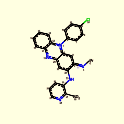 CC(C)/N=c1\cc2n(-c3ccc(Cl)cc3)c3ccccc3nc-2cc1Nc1cccnc1[N+](=O)[O-]